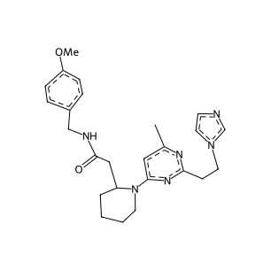 COc1ccc(CNC(=O)CC2CCCCN2c2cc(C)nc(CCn3ccnc3)n2)cc1